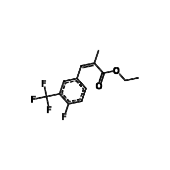 CCOC(=O)C(C)=Cc1ccc(F)c(C(F)(F)F)c1